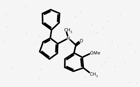 COc1c(C)cccc1C(=O)N(C)c1ccccc1-c1ccccc1